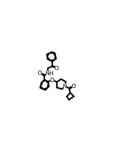 O=C(CNC(=O)c1ccccc1OC1CCN(C(=O)C2CCC2)CC1)c1ccccc1